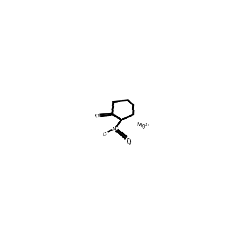 O=C1CCCCC1[N+](=O)[O-].[Mg+2]